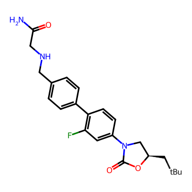 CC(C)(C)C[C@@H]1CN(c2ccc(-c3ccc(CNCC(N)=O)cc3)c(F)c2)C(=O)O1